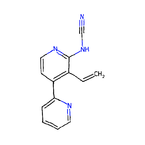 C=Cc1c(-c2ccccn2)ccnc1NC#N